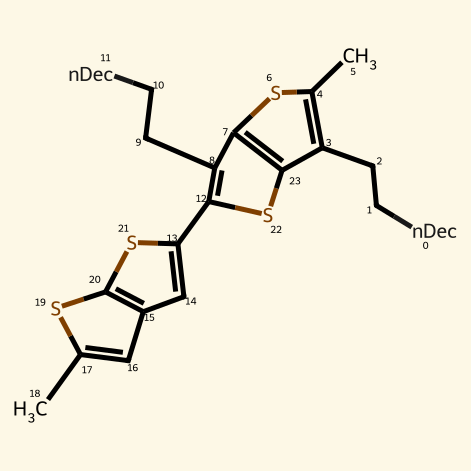 CCCCCCCCCCCCc1c(C)sc2c(CCCCCCCCCCCC)c(-c3cc4cc(C)sc4s3)sc12